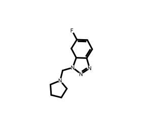 FC1=CC=C2N=NN(CN3CCCC3)C2C1